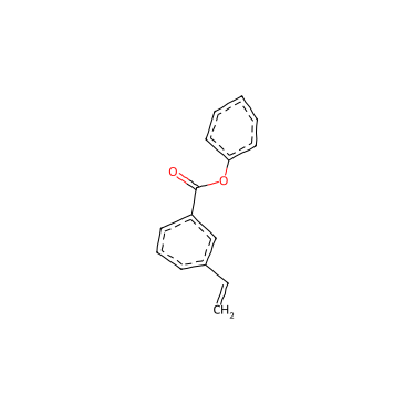 C=Cc1cccc(C(=O)Oc2ccccc2)c1